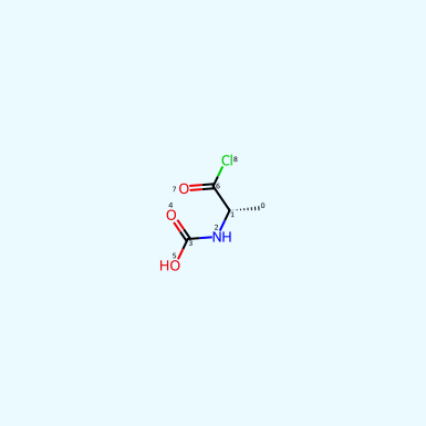 C[C@H](NC(=O)O)C(=O)Cl